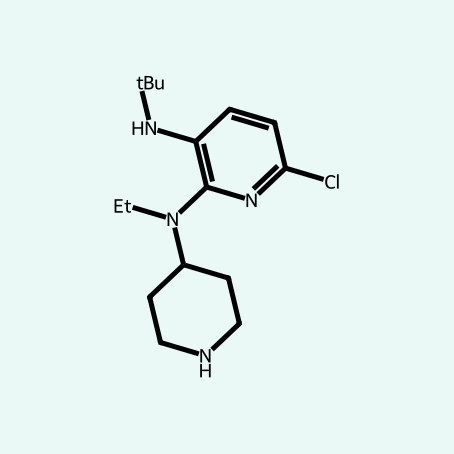 CCN(c1nc(Cl)ccc1NC(C)(C)C)C1CCNCC1